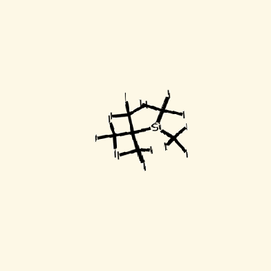 IC(I)(I)[Si](C(I)(I)I)C(C(I)(I)I)(C(I)(I)I)C(I)(I)I